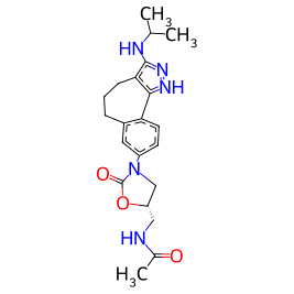 CC(=O)NC[C@H]1CN(c2ccc3c(c2)CCCc2c(NC(C)C)n[nH]c2-3)C(=O)O1